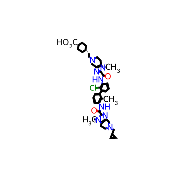 Cc1c(NC(=O)c2nc3c(n2C)CCN(CC2CC2)C3)cccc1-c1cccc(NC(=O)c2nc3c(n2C)CCN(CC[C@H]2CC[C@H](C(=O)O)CC2)C3)c1Cl